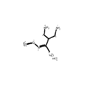 CCON=C(C)C(CN)CN.Cl.Cl